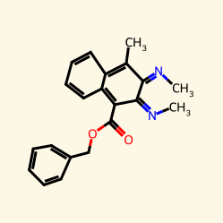 C/N=C1/C(C)=c2ccccc2=C(C(=O)OCc2ccccc2)/C1=N/C